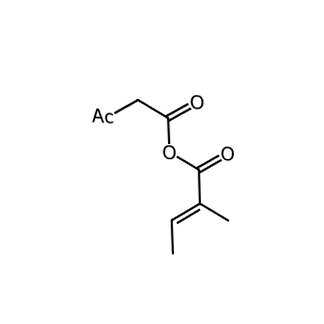 CC=C(C)C(=O)OC(=O)CC(C)=O